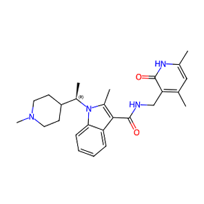 Cc1cc(C)c(CNC(=O)c2c(C)n([C@H](C)C3CCN(C)CC3)c3ccccc23)c(=O)[nH]1